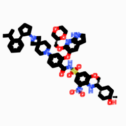 CC(C)c1ccccc1[C@H]1CCC[C@H]1N1CC2(CCN(c3ccc(C(=O)NS(=O)(=O)c4cc5c(c([N+](=O)[O-])c4)N[C@@H]([C@H]4CC[C@](C)(O)CC4)CO5)c(Oc4cc5cc[nH]c5nc4OC[C@@H]4COCCO4)c3)CC2)C1